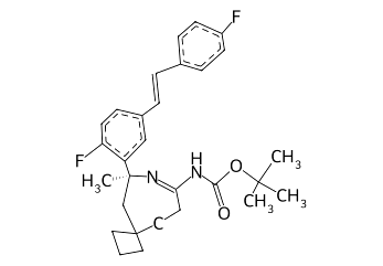 CC(C)(C)OC(=O)NC1=N[C@](C)(c2cc(/C=C/c3ccc(F)cc3)ccc2F)CC2(CCC2)CC1